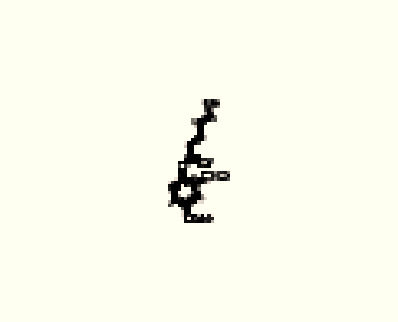 COc1ccc(OC(=O)CCCCO)c(C=O)c1